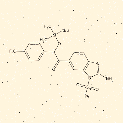 CC(C)S(=O)(=O)n1c(N)nc2ccc(C(=O)C(O[Si](C)(C)C(C)(C)C)c3ccc(C(F)(F)F)cc3)cc21